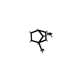 Br.[Zn][C]12CCC(CC1)C2